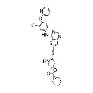 O=C(O[C@H]1CN[C@H](C#Cc2cc3ncnc(Nc4ccc(Oc5ccccn5)c(Cl)c4)c3s2)C1)N1CCCCC1